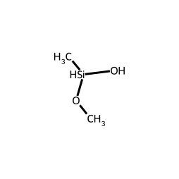 CO[SiH](C)O